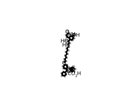 O=C(O)N(C(c1ccccc1)c1ccc(OCCCCCCCCCNC[C@H](O)c2ccc(O)c3[nH]c(=O)ccc23)cc1)[C@H]1CN2CCC1CC2